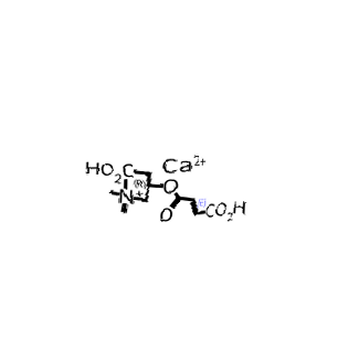 C[N+](C)(C)C[C@@H](CC(=O)O)OC(=O)/C=C/C(=O)O.[Ca+2]